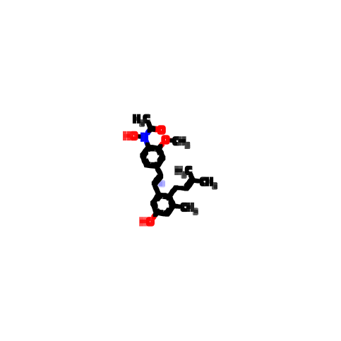 COc1cc(/C=C/c2cc(O)cc(C)c2CC=C(C)C)ccc1N(O)C(C)=O